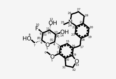 COc1c([C@@H]2O[C@H](CO)[C@@H](F)[C@H](O)[C@H]2O)cc(Cc2ccc3c(c2)N(C)CCC3)c2c1CCO2